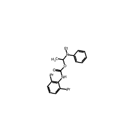 CCN(c1ccccc1)C(C)OC(=O)Nc1c(C(C)C)cccc1C(C)C